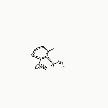 COc1nccn(C)/c1=N\N